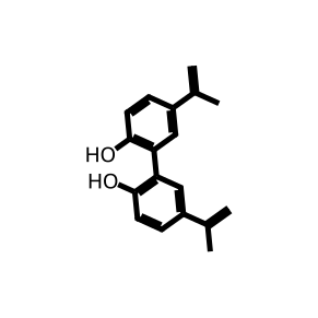 C=C(C)c1ccc(O)c(-c2cc(C(=C)C)ccc2O)c1